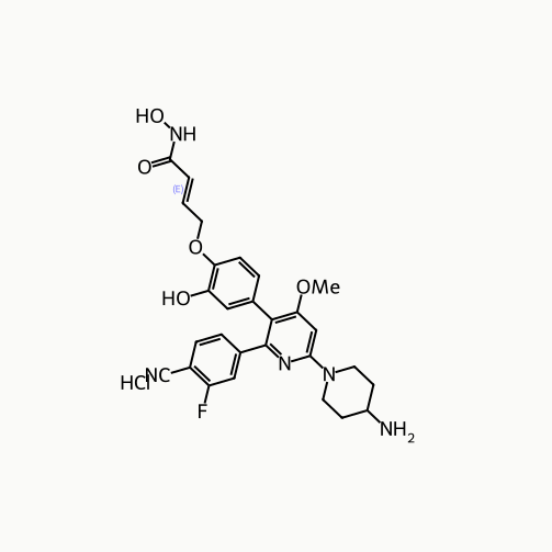 COc1cc(N2CCC(N)CC2)nc(-c2ccc(C#N)c(F)c2)c1-c1ccc(OC/C=C/C(=O)NO)c(O)c1.Cl